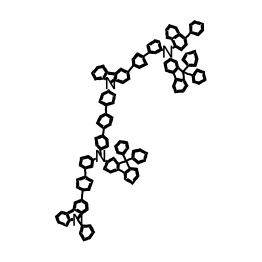 c1ccc(-c2ccc(N(c3cccc(-c4ccc(-c5ccc6c(c5)c5ccccc5n6-c5ccc(-c6ccc(-c7ccc(N(c8cccc(-c9ccc(-c%10ccc%11c(c%10)c%10ccccc%10n%11-c%10ccccc%10)cc9)c8)c8ccc9c(c8)C(c8ccccc8)(c8ccccc8)c8ccccc8-9)cc7)cc6)cc5)cc4)c3)c3ccc4c(c3)C(c3ccccc3)(c3ccccc3)c3ccccc3-4)c3ccccc23)cc1